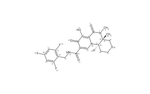 CN1C(=O)c2c(O)c(=O)c(C(=O)NCc3c(F)cc(F)cc3F)cn2[C@@H]2CCOC[C@]21C